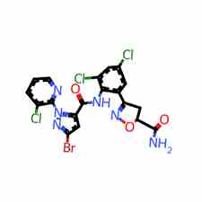 NC(=O)C1CC(c2cc(Cl)cc(Cl)c2NC(=O)c2cc(Br)nn2-c2ncccc2Cl)=NO1